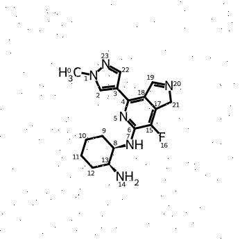 Cn1cc(-c2nc(N[C@@H]3CCCC[C@@H]3N)c(F)c3c2C=NC3)cn1